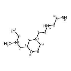 CC(C)CN(C)C[C@@H]1CN(CCNCSS)CCO1